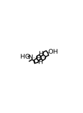 CC(=NO)C1=CC[C@H]2[C@@H]3CC=C4CC(O)CC[C@]4(C)[C@H]3CC[C@]12C